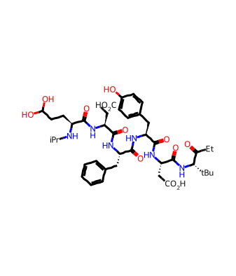 CCC(=O)[C@@H](NC(=O)[C@H](CC(=O)O)NC(=O)[C@H](Cc1ccc(O)cc1)NC(=O)[C@H](Cc1ccccc1)NC(=O)[C@H](CC(=O)O)NC(=O)[C@H](CCC(O)O)NC(C)C)C(C)(C)C